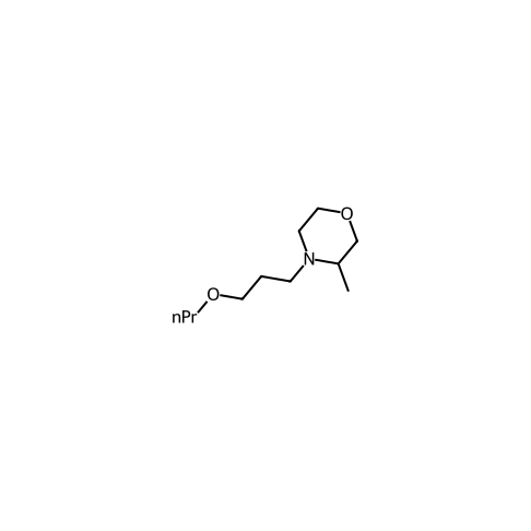 CCCOCCCN1CCOCC1C